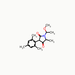 COC(C)N1C(=O)C(c2c(C)cc(C)cc2C)C(=O)C1C